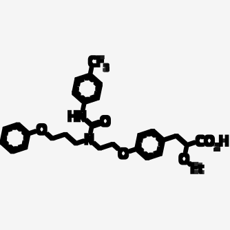 CCOC(Cc1ccc(OCCN(CCCOc2ccccc2)C(=O)Nc2ccc(C(F)(F)F)cc2)cc1)C(=O)O